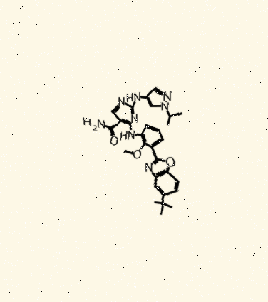 COc1c(Nc2nc(Nc3cnn(C(C)C)c3)ncc2C(N)=O)cccc1-c1nc2cc(C(C)(C)C)ccc2o1